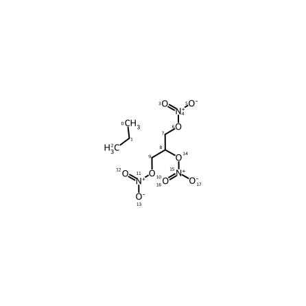 CCC.O=[N+]([O-])OCC(CO[N+](=O)[O-])O[N+](=O)[O-]